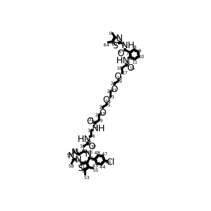 Cc1nc(NC(=O)c2ccccc2NC(=O)CCOCCOCCOCCOCCC(=O)NCCNC(=O)C[C@@H]2N=C(c3ccc(Cl)cc3)c3c(sc(C)c3C)-n3c(C)nnc32)sc1C